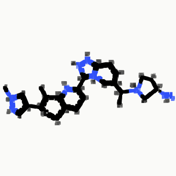 Cc1c(-c2cnn(C)c2)ccc2ccc(-c3nnc4ccc([C@H](C)N5CC[C@H](N)C5)cn34)nc12